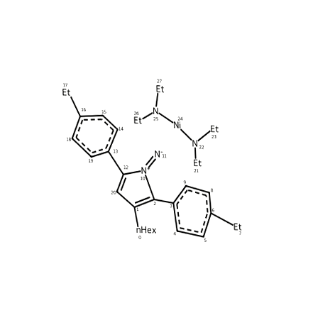 CCCCCCC1=C(c2ccc(CC)cc2)[N+](=[N-])C(c2ccc(CC)cc2)=C1.CC[N](CC)[Ni][N](CC)CC